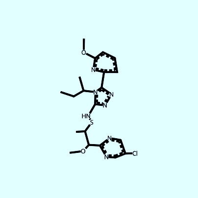 CCC(C)n1c(NSC(C)C(OC)c2ncc(Cl)cn2)nnc1-c1cccc(OC)n1